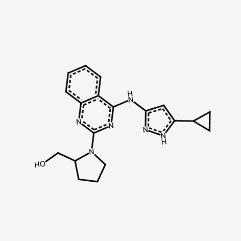 OCC1CCCN1c1nc(Nc2cc(C3CC3)[nH]n2)c2ccccc2n1